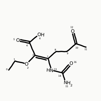 CCOC(C(=O)O)=C(CCC(C)=O)NC(N)=O